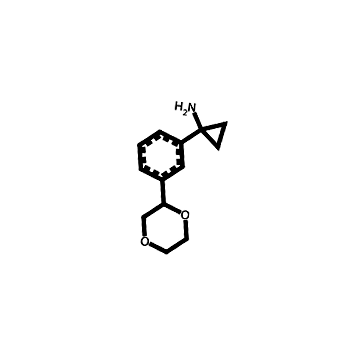 NC1(c2cccc(C3COCCO3)c2)CC1